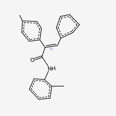 Cc1ccc(/C(=C\c2ccccc2)C(=O)Nc2ccccc2C)cc1